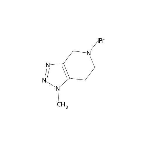 CC(C)N1CCc2c(nnn2C)C1